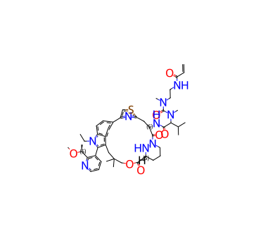 C=CC(=O)NCCN(C)C(=O)N(C)C(C(=O)N[C@H]1Cc2nc(cs2)-c2ccc3c(c2)c(c(-c2cccnc2[C@H](C)OC)n3CC)CC(C)(C)COC(=O)[C@@H]2CCCN(N2)C1=O)C(C)C